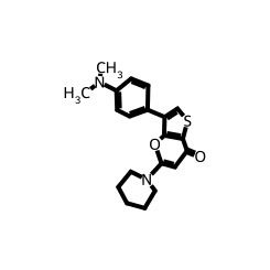 CN(C)c1ccc(-c2csc3c(=O)cc(N4CCCCC4)oc23)cc1